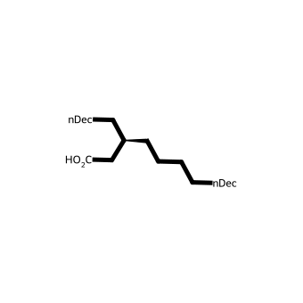 CCCCCCCCCCCCCC[C@H](CCCCCCCCCCC)CC(=O)O